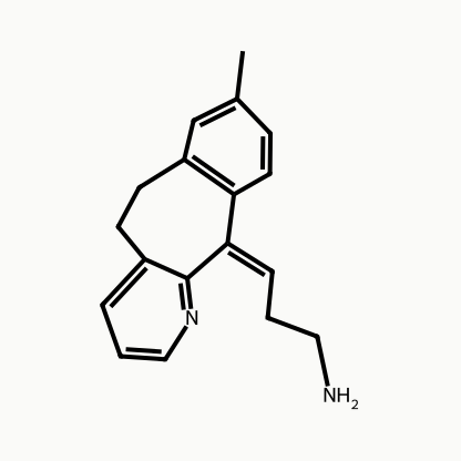 Cc1ccc2c(c1)CCc1cccnc1/C2=C\CCN